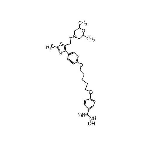 Cc1nc(-c2ccc(OCCCCCOc3ccc(C(=N)NO)cc3)cc2)c(CCN2CC(C)OC(C)C2)s1